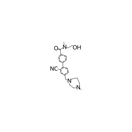 CN1CCCN(Cc2ccc(-c3ccc(C(=O)N(C)CCO)cc3)c(C#N)c2)CC1